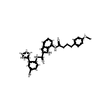 COc1ccc(CCCC(=O)Nc2cccc3cc(C(=O)Nc4ccc(Br)cc4-c4nnn[nH]4)[nH]c23)cc1